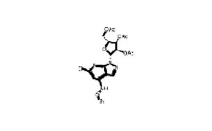 CC(=O)OC[C@H]1O[C@@H](n2ncc3c(NOC(C)C)cc(Cl)nc32)[C@H](OC(C)=O)[C@@H]1OC(C)=O